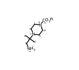 CC(C)(CN)N1CCN(C(=O)O)CC1